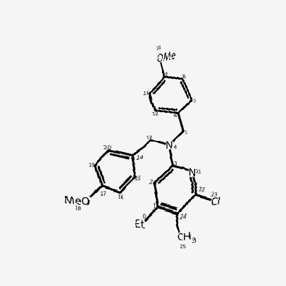 CCc1cc(N(Cc2ccc(OC)cc2)Cc2ccc(OC)cc2)nc(Cl)c1C